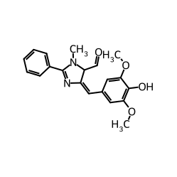 COc1cc(C=C2N=C(c3ccccc3)N(C)C2C=O)cc(OC)c1O